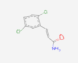 NC(=O)C=Cc1cc(Cl)ccc1Cl